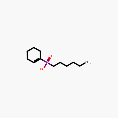 CCCCCCP(=O)(O)C1=CCCCC1